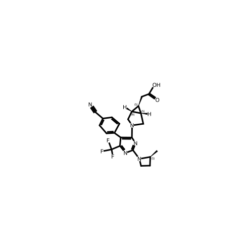 C[C@H]1CCN1c1nc(N2C[C@@H]3[C@@H](CC(=O)O)[C@@H]3C2)c(-c2ccc(C#N)cc2)c(C(F)(F)F)n1